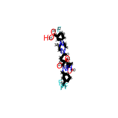 COc1ccc(C(F)(F)F)cc1CNC(=O)[C@@]1(C2CC2)CC[C@@H](N2CCN(c3ccc(F)c(C(=O)O)c3)[C@@H](C)C2)CO1